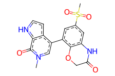 Cn1cc(-c2cc(S(C)(=O)=O)cc3c2OCC(=O)N3)c2cc[nH]c2c1=O